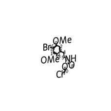 COc1cc(CCNC(=O)OCCl)c(OC)cc1Br